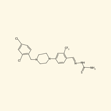 NC(=S)N/N=C/c1ccc(N2CCN(Cc3ccc(Cl)cc3Cl)CC2)cc1C(F)(F)F